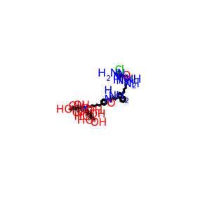 N=C(NCCCCc1ccc(C[C@H](N)C(=O)Nc2ccc(CCCCCCN(C[C@H](O)[C@@H](O)[C@H](O)[C@H](O)CO)C[C@H](O)[C@@H](O)[C@H](O)[C@H](O)CO)cc2)c2ccccc12)NC(=O)c1nc(Cl)c(N)nc1N